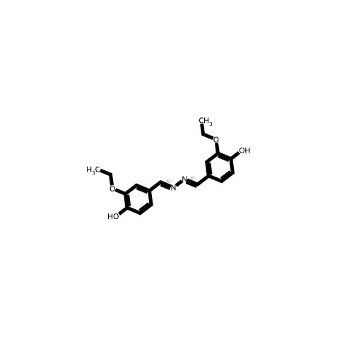 CCOc1cc(/C=N/N=C/c2ccc(O)c(OCC)c2)ccc1O